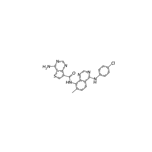 Cc1ccc2c(Nc3ccc(Cl)cc3)ncnc2c1NC(=O)c1csc2c(N)ncnc12